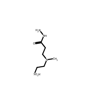 CN(CCC(=O)NN)CCS(=O)(=O)O